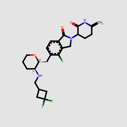 C=C1CCC(N2Cc3c(ccc(C[C@H]4OCCC[C@@H]4NCC4CC(F)(F)C4)c3F)C2=O)C(=O)N1